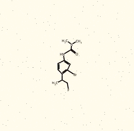 CC(CF)c1ccc(NC(=O)N(C)C)cc1Br